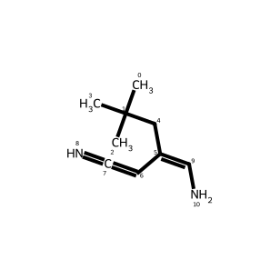 CC(C)(C)C/C(C=C=N)=C/N